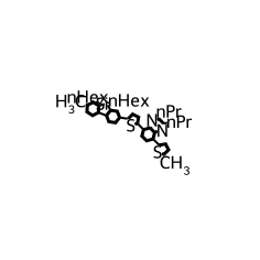 CCCCCC[Si]1(CCCCCC)c2cc(C)ccc2-c2ccc(-c3ccc(-c4ccc(-c5ccc(C)s5)c5nc(CCC)c(CCC)nc45)s3)cc21